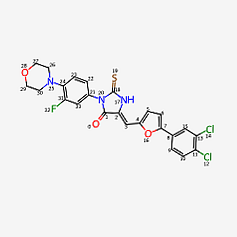 O=C1/C(=C/c2ccc(-c3ccc(Cl)c(Cl)c3)o2)NC(=S)N1c1ccc(N2CCOCC2)c(F)c1